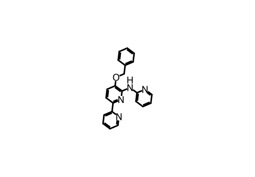 c1ccc(COc2ccc(-c3ccccn3)nc2Nc2ccccn2)cc1